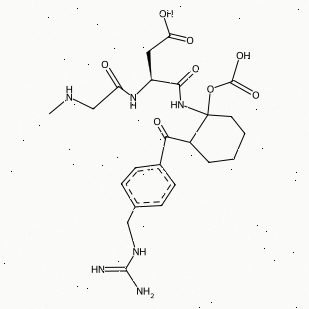 CNCC(=O)N[C@@H](CC(=O)O)C(=O)NC1(OC(=O)O)CCCCC1C(=O)c1ccc(CNC(=N)N)cc1